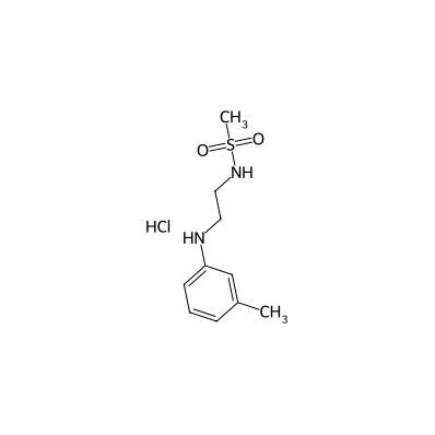 Cc1cccc(NCCNS(C)(=O)=O)c1.Cl